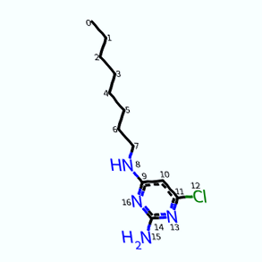 CCCCCCCCNc1cc(Cl)nc(N)n1